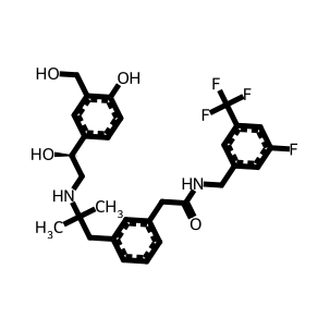 CC(C)(Cc1cccc(CC(=O)NCc2cc(F)cc(C(F)(F)F)c2)c1)NC[C@@H](O)c1ccc(O)c(CO)c1